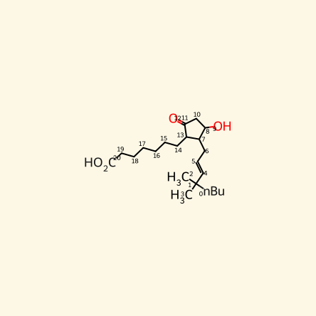 CCCCC(C)(C)C=CCC1C(O)CC(=O)C1CCCCCCC(=O)O